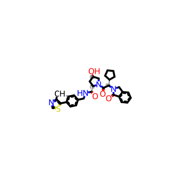 Cc1ncsc1-c1ccc(CNC(=O)[C@@H]2C[C@@H](O)CN2C(=O)[C@H](C2CCCC2)N2Cc3ccccc3C2=O)cc1